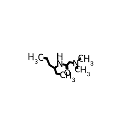 CCCC(CC)NC(=O)CN(C)C